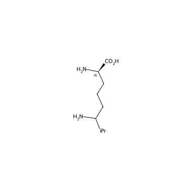 CC(C)C(N)CCC[C@@H](N)C(=O)O